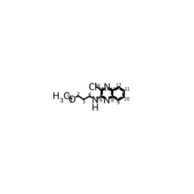 COCCCNc1nc2ccccc2nc1Cl